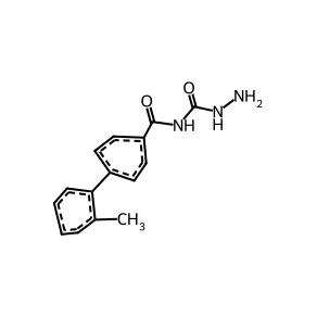 Cc1ccccc1-c1ccc(C(=O)NC(=O)NN)cc1